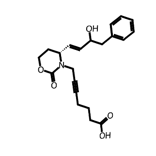 O=C(O)CCCC#CCN1C(=O)OCC[C@@H]1/C=C/C(O)Cc1ccccc1